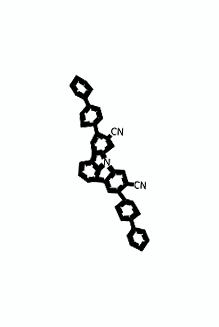 N#Cc1cc2c(cc1-c1ccc(-c3ccccc3)cc1)c1cccc3c4cc(-c5ccc(-c6ccccc6)cc5)c(C#N)cc4n2c13